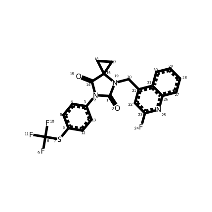 O=C1N(c2ccc(SC(F)(F)F)cc2)C(=O)C2(CC2)N1Cc1cc(F)nc2ccccc12